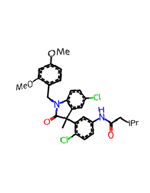 COc1ccc(CN2C(=O)C(C)(c3cc(NC(=O)CC(C)C)ccc3Cl)c3cc(Cl)ccc32)c(OC)c1